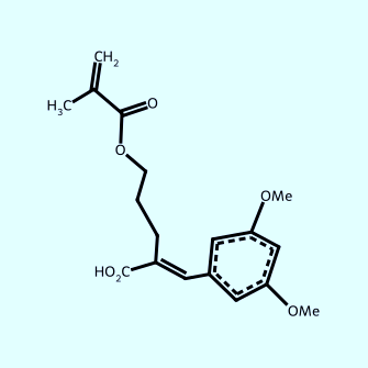 C=C(C)C(=O)OCCCC(=Cc1cc(OC)cc(OC)c1)C(=O)O